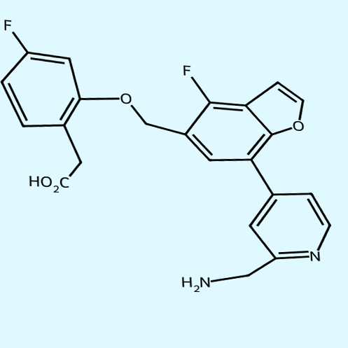 NCc1cc(-c2cc(COc3cc(F)ccc3CC(=O)O)c(F)c3ccoc23)ccn1